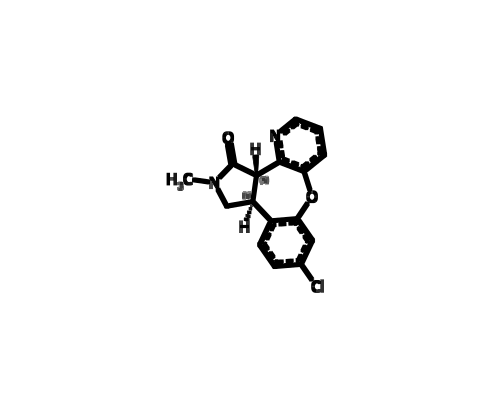 CN1C[C@@H]2c3ccc(Cl)cc3Oc3cccnc3[C@H]2C1=O